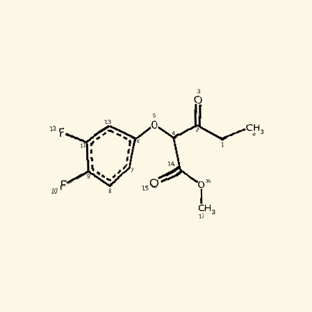 CCC(=O)C(Oc1ccc(F)c(F)c1)C(=O)OC